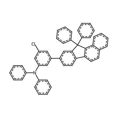 Clc1cc(-c2ccc3c(c2)C(c2ccccc2)(c2ccccc2)c2c-3ccc3ccccc23)cc(N(c2ccccc2)c2ccccc2)c1